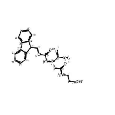 CCCCCCCCCCCCNC(=O)C[C@H](NC(=O)OCC1c2ccccc2-c2ccccc21)C(N)=O